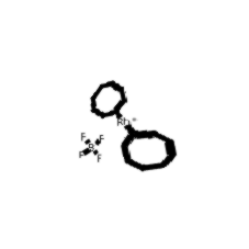 C1=C\CCCC\[C]([Rh+]/[C]2=C/C=C\CCCC2)=C/1.F[B-](F)(F)F